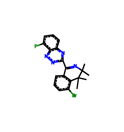 CC1(C)N=C(c2nnc3c(F)cccc3n2)c2cccc(Br)c2C1(C)C